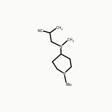 CC(C#N)CN(C)C1CCN(C(C)(C)C)CC1